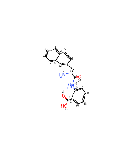 NC(Cc1ccc2ccccc2c1)C(=O)Nc1ccccc1C(=O)O